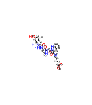 CCCC[C@@H](NC(=O)[C@@H](N)Cc1c(C)cc(O)cc1C)C(=O)NCC(=O)N[C@@H](CC1CCCCC1)C(=O)N(C)CCCCCC(=O)OC